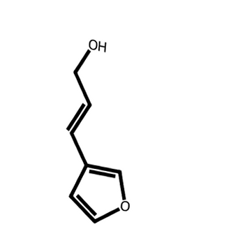 OCC=Cc1ccoc1